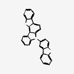 c1ccc2c(c1)[nH]c1c2ccc2c1c1ccccc1n2-c1ccc2sc3ccccc3c2c1